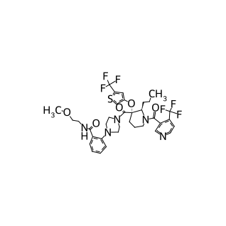 CCC[C@H]1N(C(=O)c2cnccc2C(F)(F)F)CCC[C@@]1(Oc1csc(C(F)(F)F)c1)C(=O)N1CCN(c2ccccc2C(=O)NCCOC)CC1